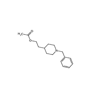 CC(=O)OCCC1CCN(Cc2ccccc2)CC1